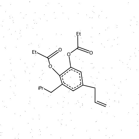 C=CCc1cc(CC(C)C)c(OC(=O)CC)c(OC(=O)CC)c1